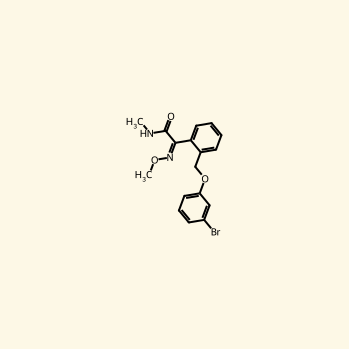 CNC(=O)C(=NOC)c1ccccc1COc1cccc(Br)c1